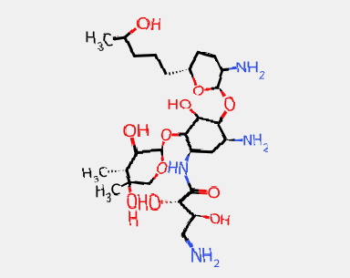 CC(O)CCC[C@@H]1CCC(N)[C@@H](OC2C(O)C(O[C@H]3OCC(C)(O)[C@H](C)C3O)[C@H](NC(=O)[C@@H](O)[C@@H](O)CN)C[C@@H]2N)O1